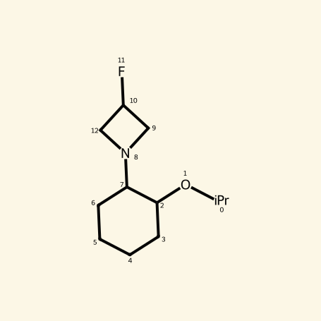 CC(C)OC1CCCCC1N1CC(F)C1